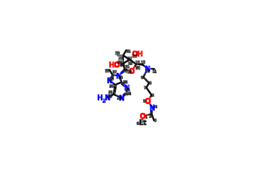 CCOC(C)=NOCCCCN(C)C[C@H]1O[C@@H](n2c(C)nc3c(N)ncnc32)[C@@]2(O)C(C)(C)[C@@]12O